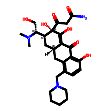 CN(C)[C@H](CO)[C@@H]1C[C@@H]2Cc3c(CN4CCCCC4)ccc(O)c3C(=O)C2=C(O)[C@]1(O)C(=O)CC(N)=O